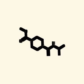 C=C(NC(C)C)N1CCN(C(=O)OC)CC1